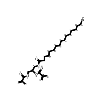 C=C(C)C(=O)OCC(COC(=O)CCCCCCCCCCCCCCCBr)OC(=O)C(=C)C